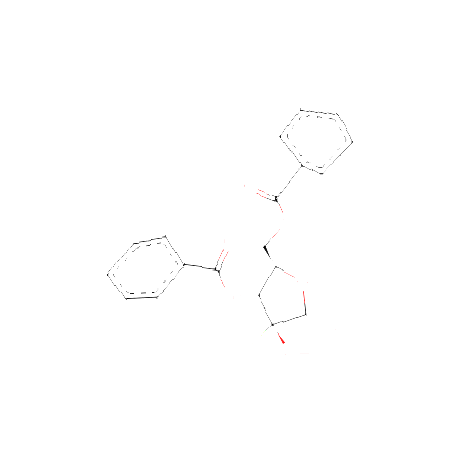 O=C(OC[C@H]1O[C@H](Br)[C@](O)(F)[C@@H]1OC(=O)c1ccccc1)c1ccccc1